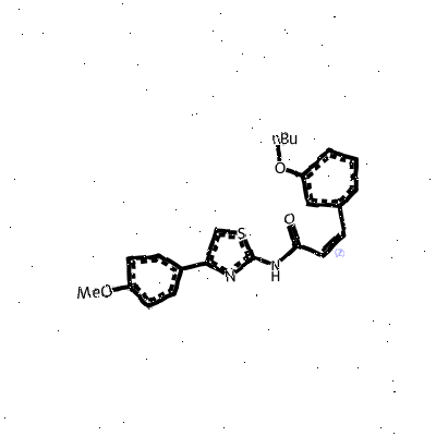 CCCCOc1cccc(/C=C\C(=O)Nc2nc(-c3ccc(OC)cc3)cs2)c1